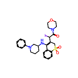 O=C(C(I)C1=C(NC2CCCN(c3ccccc3)C2)c2ccccc2S(=O)(=O)C1)N1CCOCC1